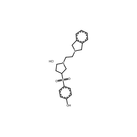 Cl.O=S(=O)(c1ccc(O)cc1)C1CCN(CCN2Cc3ccccc3C2)C1